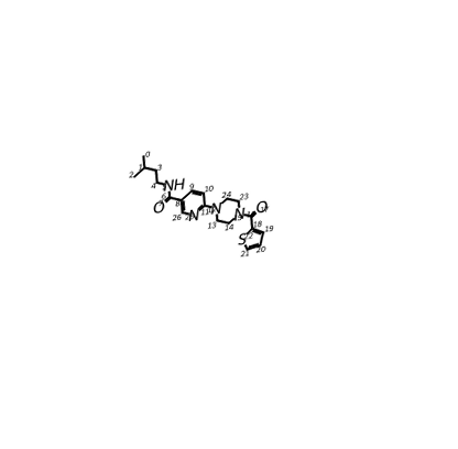 CC(C)CCNC(=O)c1ccc(N2CCN(C(=O)c3cccs3)CC2)nc1